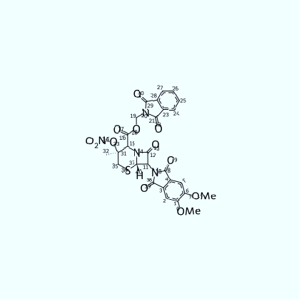 COc1cc2c(cc1OC)C(=O)N(C1C(=O)N3C(C(=O)OCN4C(=O)c5ccccc5C4=O)[C@](C)(O[N+](=O)[O-])CS[C@@H]13)C2=O